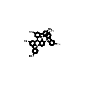 CC(C)(C)c1ccc2c(c1)c1cc(C(C)(C)C)ccc1n2-c1ccc2c3c1-n1c4ccc(C(C)(C)C)cc4c4cc(C(C)(C)C)cc(c41)C3c1cc(C(C)(C)C)cc3c4cc(C(C)(C)C)ccc4n-2c13